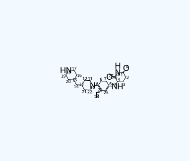 O=C1CCC(Nc2ccc(N3CCC(CC4CCNCC4)CC3)c(F)c2)C(=O)N1